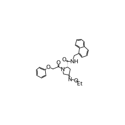 CCO/N=C1\C[C@@H](C(=O)NCc2cccc3ccccc23)N(C(=O)COc2ccccc2)C1